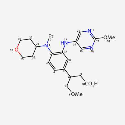 CCN(c1ccc(C(COC)CC(=O)O)cc1Nc1cnc(OC)nc1)C1CCOCC1